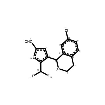 O=Cc1cc(C2OCCc3ccc(Cl)cc32)c(C(F)F)s1